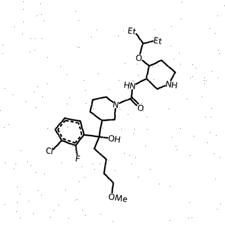 CCC(CC)OC1CCNCC1NC(=O)N1CCCC(C(O)(CCCCOC)c2cccc(Cl)c2F)C1